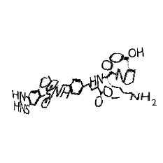 CCOC(=O)C(CCc1ccc(CNS(=O)(=O)c2cc3c(cc2Cl)NCNS3)cc1)N[C@@H](CCCCN)C(=O)N1CCC[C@H]1C(=O)O